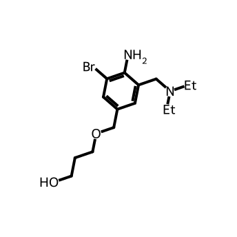 CCN(CC)Cc1cc(COCCCO)cc(Br)c1N